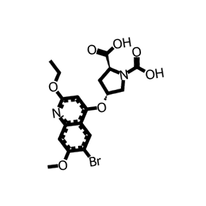 CCOc1cc(O[C@@H]2C[C@@H](C(=O)O)N(C(=O)O)C2)c2cc(Br)c(OC)cc2n1